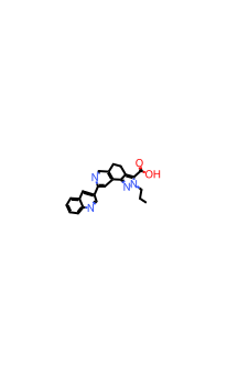 CCCn1nc2c(c1C(=O)O)CCc1cnc(-c3cnc4ccccc4c3)cc1-2